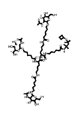 CC(=O)NC1C(OCCCCCC(=O)NCCCCC(NC(=O)CCCCCOC(OC(CO)[C@@H](C)O)[C@H](CO)NC(C)=O)C(=O)NC(CCCCNC(=O)CCCCCOC2OC(CO)C(O)C(O)C2NC(C)=O)C(=O)NCCCCCC(=O)NC(C)(C)CC(C)(C)OC2CCC2)OC(CO)C(O)C1O